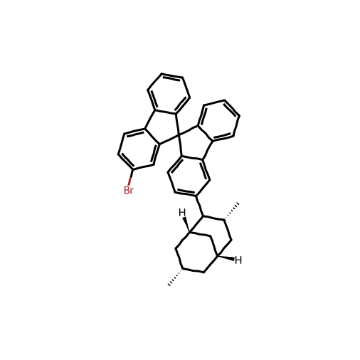 C[C@H]1C[C@@H]2C[C@H](C1)C(c1ccc3c(c1)-c1ccccc1C31c3ccccc3-c3ccc(Br)cc31)[C@H](C)C2